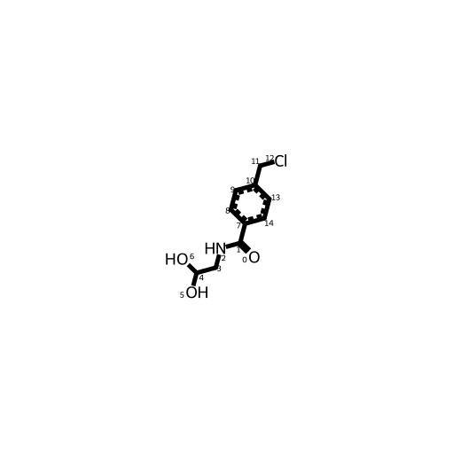 O=C(NCC(O)O)c1ccc(CCl)cc1